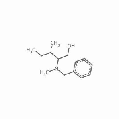 CC[C@H](C)C(CO)N(C)Cc1ccccc1